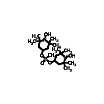 CC1(C)CC(OP(C)(=O)OC2CC(C)(C)N(O)C(C)(C)C2)CC(C)(C)N1O